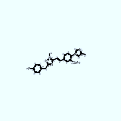 COc1cc(C=Cc2nc(Cc3ccc(F)cc3)nn2C)ccc1-n1cnc(C)c1